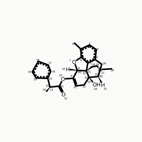 Cc1ccc2c3c1O[C@H]1C(OC(=O)[C@@H](C)c4ccccc4)=CC[C@@]4(O)[C@@H](C2)N(C)CC[C@]314